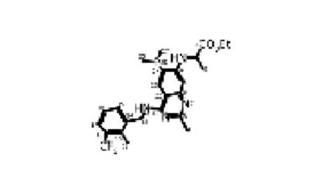 CCOC(=O)C(C)Nc1cc2nc(C)nc(NCc3cccc(C(F)(F)F)c3C)c2cc1P(C)C